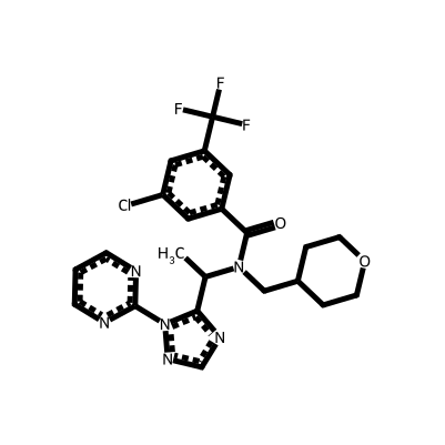 CC(c1ncnn1-c1ncccn1)N(CC1CCOCC1)C(=O)c1cc(Cl)cc(C(F)(F)F)c1